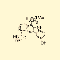 CCCNC(=O)c1nccc2c(C)c3[nH]c4ccc(O)cc4c3cc12.CNC